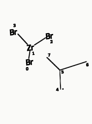 [Br][Zr]([Br])[Br].[CH2]C(C)C